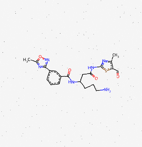 Cc1nc(-c2cccc(C(=O)NC(CCCN)CC(=O)Nc3nc(C)c(C=O)s3)c2)no1